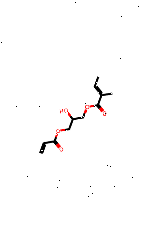 C=CC(=O)OCC(O)COC(=O)C(C)=CC